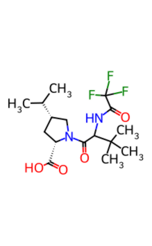 CC(C)[C@H]1C[C@@H](C(=O)O)N(C(=O)C(NC(=O)C(F)(F)F)C(C)(C)C)C1